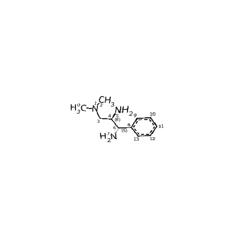 CN(C)C[C@@H](N)[C@@H](N)c1ccccc1